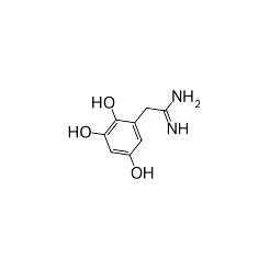 N=C(N)Cc1cc(O)cc(O)c1O